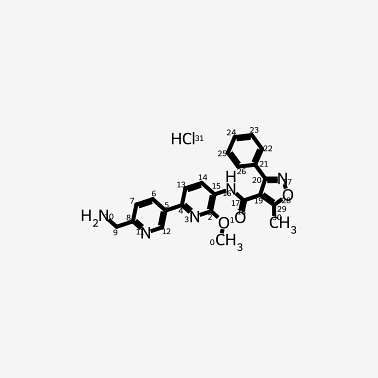 COc1nc(-c2ccc(CN)nc2)ccc1NC(=O)c1c(-c2ccccc2)noc1C.Cl